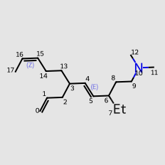 C=CCC(/C=C/C(CC)CCN(C)C)CC/C=C\C